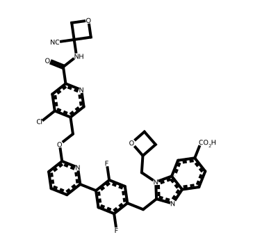 N#CC1(NC(=O)c2cc(Cl)c(COc3cccc(-c4cc(F)c(Cc5nc6ccc(C(=O)O)cc6n5CC5CCO5)cc4F)n3)cn2)COC1